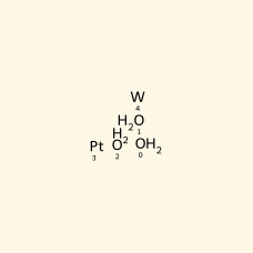 O.O.O.[Pt].[W]